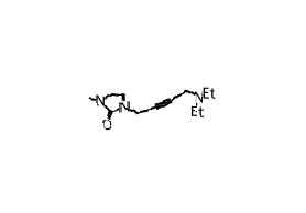 CCN(CC)CC#CCN1CCN(C)C1=O